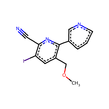 COCc1cc(I)c(C#N)nc1-c1cccnc1